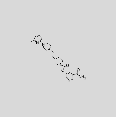 Cc1cccc(N2CCC(CCC3CCN(C(=O)Oc4cncc(C(N)=O)c4)CC3)CC2)n1